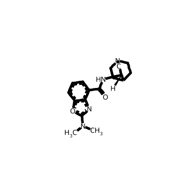 CN(C)c1nc2c(C(=O)N[C@@H]3CN4CCC3CC4)cccc2o1